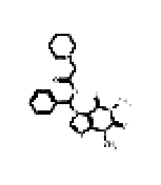 Cn1c(=O)c2c(ncn2C(OC(=O)CN2CCCCC2)c2ccccc2)n(C)c1=O